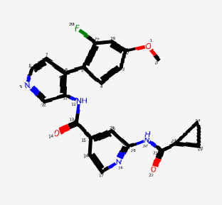 COc1ccc(-c2ccncc2NC(=O)c2ccnc(NC(=O)C3CC3)c2)c(F)c1